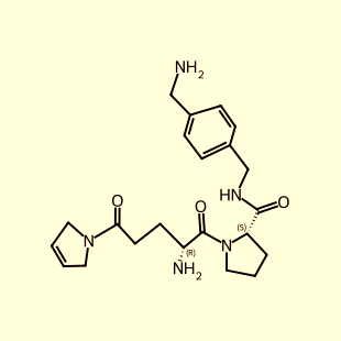 NCc1ccc(CNC(=O)[C@@H]2CCCN2C(=O)[C@H](N)CCC(=O)N2CC=CC2)cc1